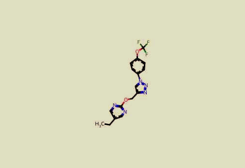 CCc1cnc(OCc2cn(-c3ccc(OC(F)(F)F)cc3)nn2)nc1